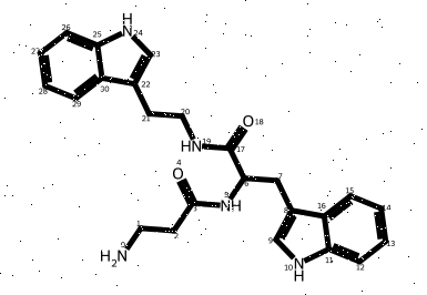 NCCC(=O)NC(Cc1c[nH]c2ccccc12)C(=O)NCCc1c[nH]c2ccccc12